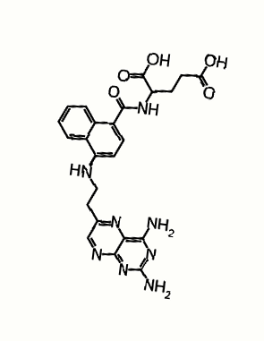 Nc1nc(N)c2nc(CCNc3ccc(C(=O)NC(CCC(=O)O)C(=O)O)c4ccccc34)cnc2n1